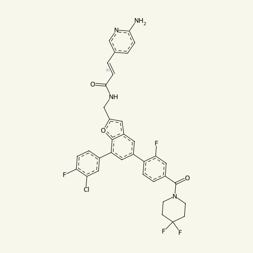 Nc1ccc(/C=C/C(=O)NCc2cc3cc(-c4ccc(C(=O)N5CCC(F)(F)CC5)cc4F)cc(-c4ccc(F)c(Cl)c4)c3o2)cn1